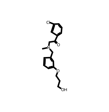 CN(CC(=O)c1cccc(Cl)c1)Cc1cccc(OCCCO)c1